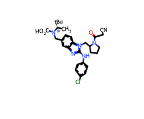 C[C@H](N(Cc1ccc2c(c1)nc(Nc1ccc(Cl)cc1)n2CC1CCCN1C(=O)CC#N)C(=O)O)C(C)(C)C